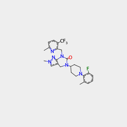 Cc1ccc(C(F)(F)F)c(CN2C(=O)N(C3CCN(c4c(C)cccc4F)CC3)Cc3cn(C)nc32)n1